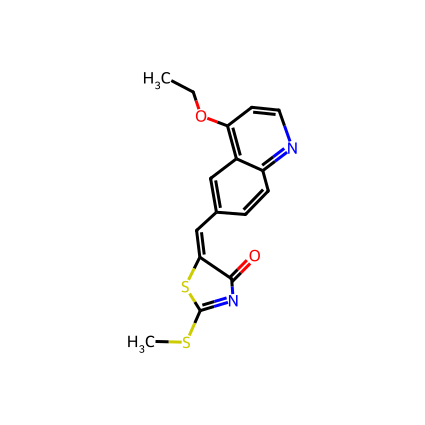 CCOc1ccnc2ccc(/C=C3/SC(SC)=NC3=O)cc12